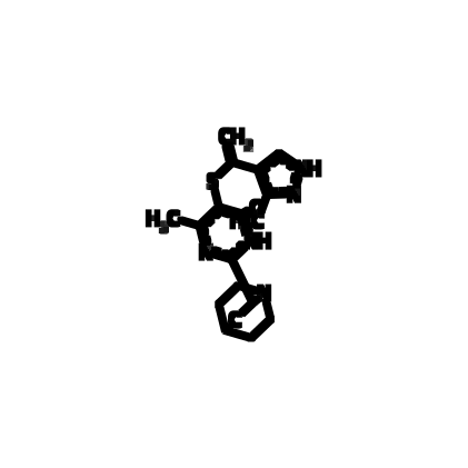 C=C(Sc1c(C)nc(C2CC3CCN2CC3)[nH]c1=O)c1c[nH]nc1C